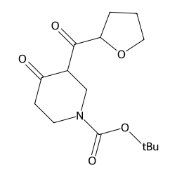 CC(C)(C)OC(=O)N1CCC(=O)C(C(=O)C2CCCO2)C1